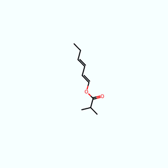 CCC=CC=COC(=O)C(C)C